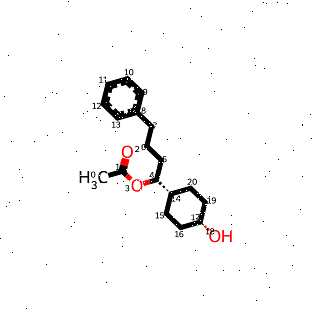 CC(=O)OC(CCCc1ccccc1)[C@H]1CC[C@@H](O)CC1